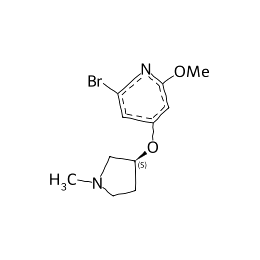 COc1cc(O[C@H]2CCN(C)C2)cc(Br)n1